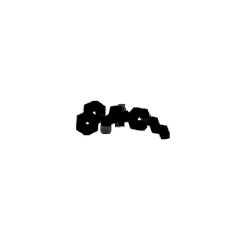 CCCCN1CCC(c2nc(C(=O)N3CCCC4CCCCC43)cs2)CC1